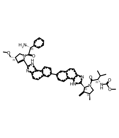 C=C1[C@H](C)CN(C(=O)[C@@H](NC(=O)OC)C(C)C)[C@@H]1c1nc2ccc3cc(-c4ccc5c(ccc6nc(C7=C[C@H](COC)CN7C(=O)[C@H](N)c7ccccc7)[nH]c65)c4)ccc3c2[nH]1